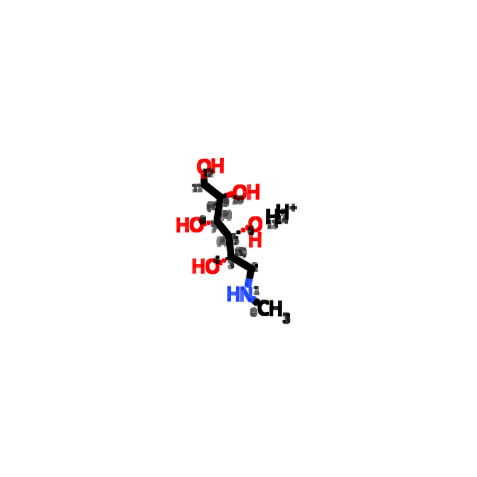 CNC[C@H](O)[C@@H](O)[C@H](O)[C@H](O)CO.[H+].[H+]